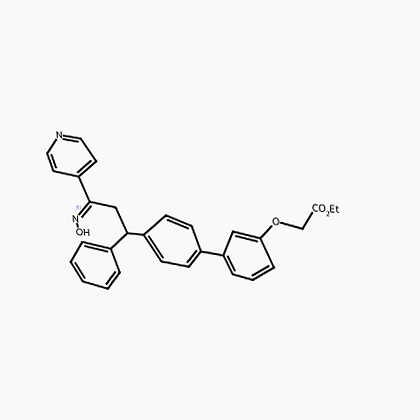 CCOC(=O)COc1cccc(-c2ccc(C(C/C(=N\O)c3ccncc3)c3ccccc3)cc2)c1